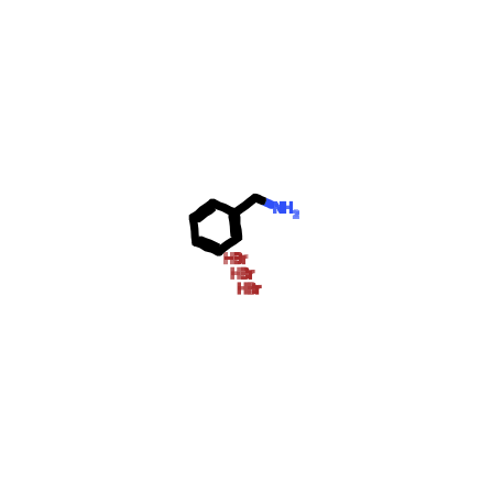 Br.Br.Br.NCc1ccccc1